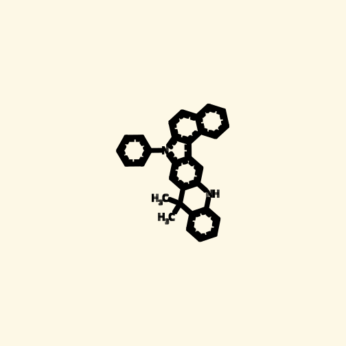 CC1(C)c2ccccc2Nc2cc3c4c5ccccc5ccc4n(-c4ccccc4)c3cc21